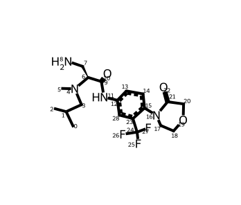 CC(C)CN(C)[C@@H](CN)C(=O)Nc1ccc(N2CCOCC2=O)c(C(F)(F)F)c1